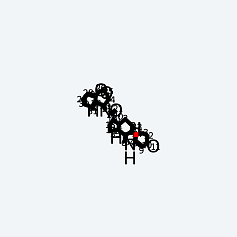 C[C@]12CC[C@H]3[C@@H](CNC4=CC(=O)CC[C@@]43C)[C@@H]1CC[C@@H]2C(=O)NC1COOc2ccccc21